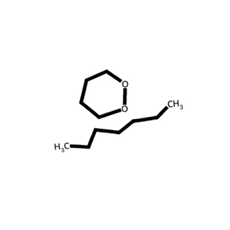 C1CCOOC1.CCCCCCC